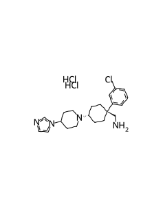 Cl.Cl.NC[C@]1(c2cccc(Cl)c2)CC[C@@H](N2CCC(n3ccnc3)CC2)CC1